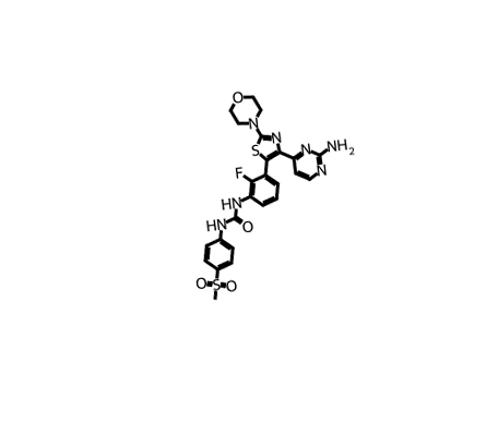 CS(=O)(=O)c1ccc(NC(=O)Nc2cccc(-c3sc(N4CCOCC4)nc3-c3ccnc(N)n3)c2F)cc1